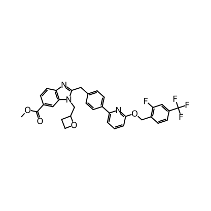 COC(=O)c1ccc2nc(Cc3ccc(-c4cccc(OCc5ccc(C(F)(F)F)cc5F)n4)cc3)n(CC3CCO3)c2c1